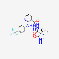 CC1(C(=O)NNC(=O)c2cccnc2Nc2ccc(C(F)(F)F)cc2)CCNC1=O